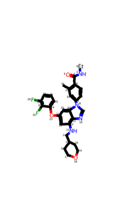 CCNC(=O)c1ccc(-n2cnc3c(NCC4CCOCC4)cc(Oc4cccc(F)c4F)cc32)cc1C